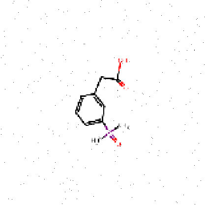 CP(C)(=O)c1cccc(CC(=O)O)c1